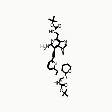 Cn1cnc2c(CNC(=O)OC(C)(C)C)nc(N)c(C#Cc3cccc(CC[C@@H](NC(=O)OC(C)(C)C)OC4CCCCO4)n3)c21